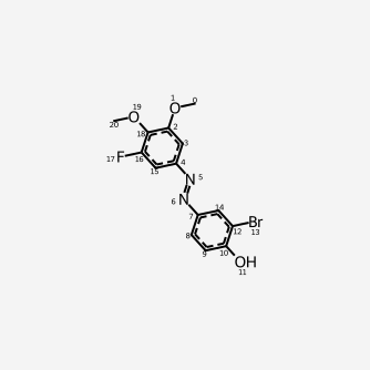 COc1cc(N=Nc2ccc(O)c(Br)c2)cc(F)c1OC